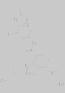 CO[C@H](C)Cn1cc2c(N3CCNCC3)ccc(C(=O)Nc3cc(F)c4nc(C)cn4c3)c2n1